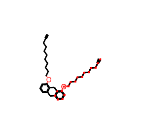 C#CCCCCCCCCCOc1cccc2c1C1c3c(OCCCCCCCCCC#C)cccc3C2c2cccc(OCCCCCCCCCC#C)c21